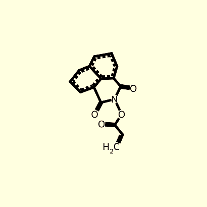 C=CC(=O)ON1C(=O)c2cccc3cccc(c23)C1=O